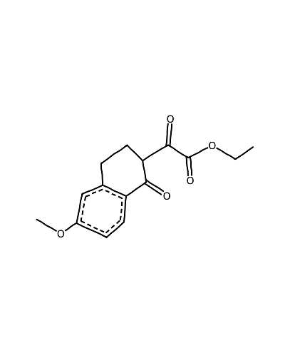 CCOC(=O)C(=O)C1CCc2cc(OC)ccc2C1=O